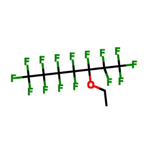 CCOC(F)(C(F)(F)C(F)(F)F)C(F)(F)C(F)(F)C(F)(F)C(F)(F)F